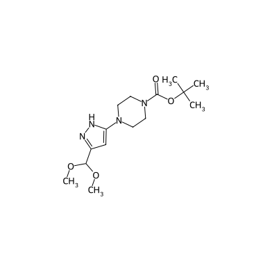 COC(OC)c1cc(N2CCN(C(=O)OC(C)(C)C)CC2)[nH]n1